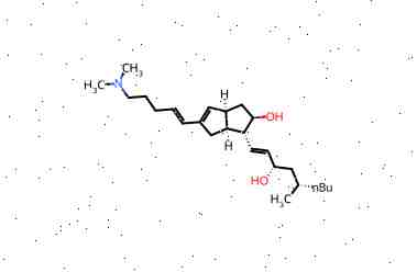 CCCC[C@H](C)C[C@H](O)/C=C/[C@@H]1[C@H]2CC(/C=C/CCCN(C)C)=C[C@H]2C[C@H]1O